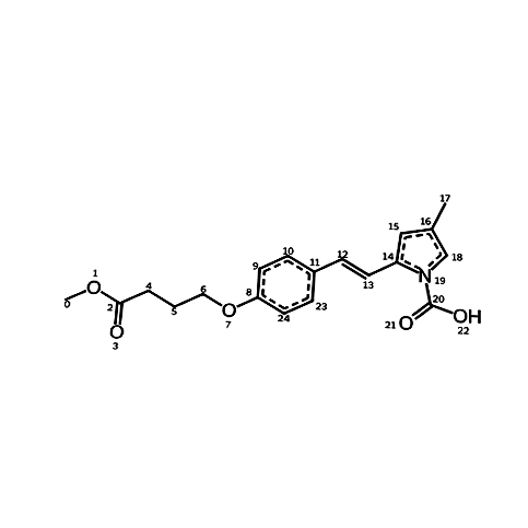 COC(=O)CCCOc1ccc(C=Cc2cc(C)cn2C(=O)O)cc1